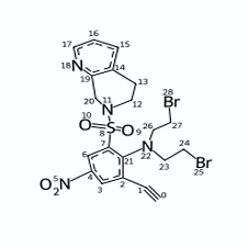 C#Cc1cc([N+](=O)[O-])cc(S(=O)(=O)N2CCc3cccnc3C2)c1N(CCBr)CCBr